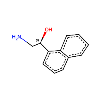 NC[C@@H](O)c1cccc2ccccc12